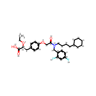 CCO[C@@H](Cc1ccc(OCC(=O)N(CCCCC2CCCCC2)Cc2ccc(F)cc2F)cc1)C(=O)O